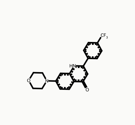 O=c1cc(-c2ccc(C(F)(F)F)cc2)[nH]c2cc(N3CCOCC3)ccc12